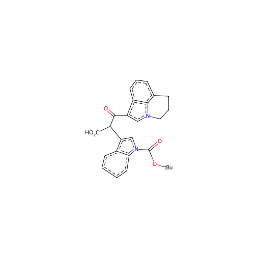 CC(C)(C)OC(=O)n1cc(C(C(=O)O)C(=O)c2cn3c4c(cccc24)CCC3)c2ccccc21